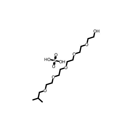 CC(C)COCCOCCOCCOCCOCCO.O=S(=O)(O)O